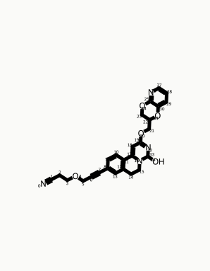 N#CCCOCC#Cc1ccc2c(c1)CCN1C2=CC(OCC2COc3ncccc3O2)=NC1O